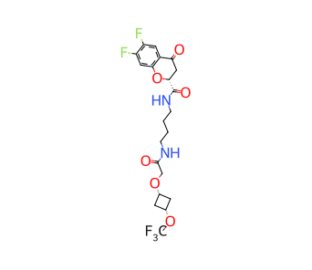 O=C(CO[C@H]1C[C@@H](OC(F)(F)F)C1)NCCCCNC(=O)[C@H]1CC(=O)c2cc(F)c(F)cc2O1